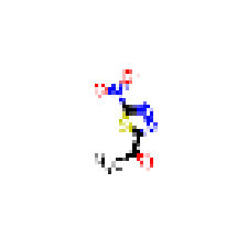 CC(=O)c1nnc([N+](=O)[O-])s1